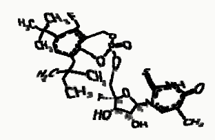 Cc1cn([C@@H]2O[C@](F)(COP3(=O)OCc4c(F)c(C(C)(C)C)cc(C(C)(C)C)c4O3)[C@@H](O)[C@H]2O)c(=S)[nH]c1=O